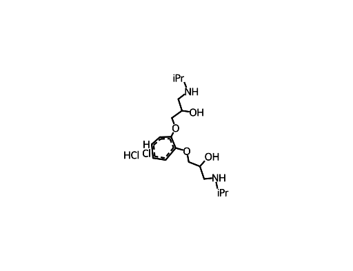 CC(C)NCC(O)COc1ccccc1OCC(O)CNC(C)C.Cl.Cl